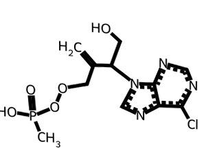 C=C(COOP(C)(=O)O)C(CO)n1cnc2c(Cl)ncnc21